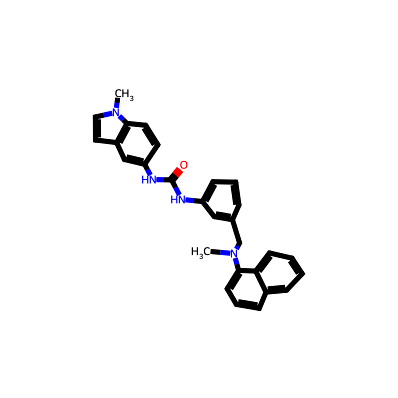 CN(Cc1cccc(NC(=O)Nc2ccc3c(ccn3C)c2)c1)c1cccc2ccccc12